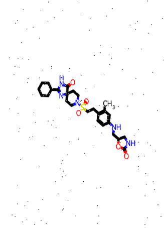 Cc1cc(NCC2CNC(=O)O2)ccc1CCS(=O)(=O)N1CCC2(CC1)N=C(C1CCCCC1)NC2=O